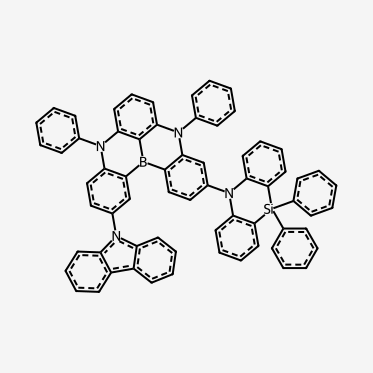 c1ccc(N2c3ccc(-n4c5ccccc5c5ccccc54)cc3B3c4ccc(N5c6ccccc6[Si](c6ccccc6)(c6ccccc6)c6ccccc65)cc4N(c4ccccc4)c4cccc2c43)cc1